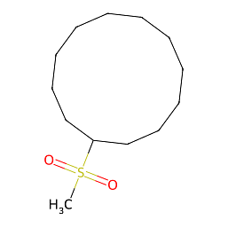 CS(=O)(=O)C1CCCCCCCCCCC1